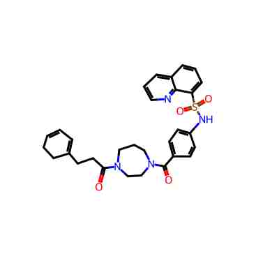 O=C(CCC1=CC=CCC1)N1CCCN(C(=O)c2ccc(NS(=O)(=O)c3cccc4cccnc34)cc2)CC1